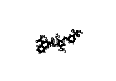 Cc1nn(Cc2cccc(S(C)(=O)=O)c2)c(C)c1NC(=O)c1cc(C(N)=O)c2ccccc2n1